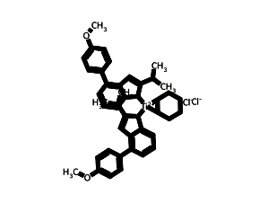 COc1ccc(-c2cccc3c2C=C(C(C)C)[CH]3[Ti+2]2([CH]3C(C(C)C)=Cc4c(-c5ccc(OC)cc5)cccc43)[CH]3CCCC[CH]32)cc1.[Cl-].[Cl-]